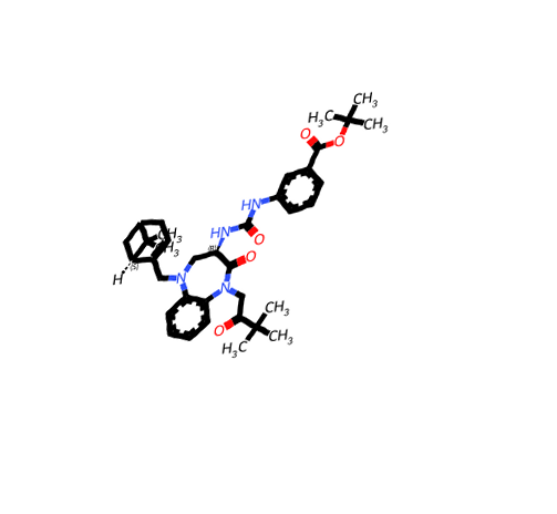 CC(C)(C)OC(=O)c1cccc(NC(=O)N[C@@H]2CN(CC3=CCC4C[C@H]3C4(C)C)c3ccccc3N(CC(=O)C(C)(C)C)C2=O)c1